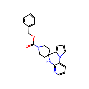 O=C(OCc1ccccc1)N1CCC2(CC1)Nc1ncccc1-n1cccc12